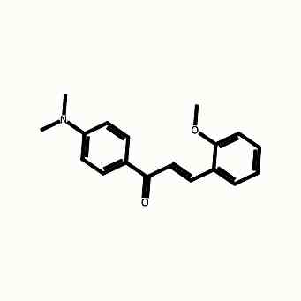 COc1ccccc1C=CC(=O)c1ccc(N(C)C)cc1